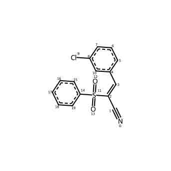 N#CC(=Cc1cccc(Cl)c1)S(=O)(=O)c1ccccc1